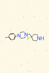 Cc1ccc(N2CCN(CC3(F)CCNCC3)CC2)cc1